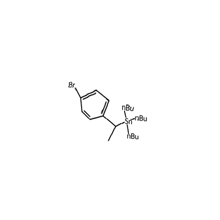 CCC[CH2][Sn]([CH2]CCC)([CH2]CCC)[CH](C)c1ccc(Br)cc1